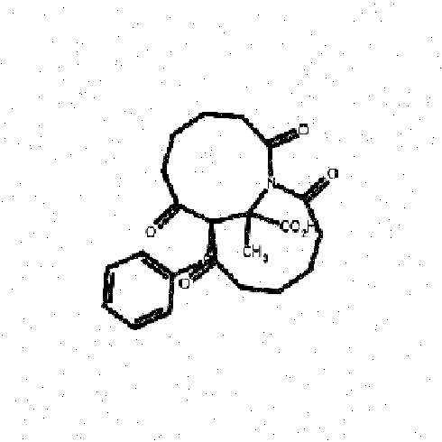 CC1(C(=O)O)N2C(=O)CCCCC(=O)C1(Oc1ccccc1)C(=O)CCCCC2=O